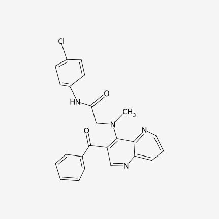 CN(CC(=O)Nc1ccc(Cl)cc1)c1c(C(=O)c2ccccc2)cnc2cccnc12